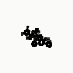 C[C@H](NC(=O)[C@H](O)c1cc(F)cc(F)c1)C(=O)N[C@@H]1C(=O)N(C)[C@@H](c2ccccc2)C=C[C@@H]1c1ccccc1